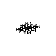 N#CC(C#N)=C1C(c2ccc(C#N)c(F)c2F)=C(C#N)c2c(C#N)c3c(c(C#N)c21)C(C#N)=C(c1ccc(C#N)c(F)c1F)C3=C(C#N)C#N